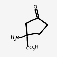 NC1(C(=O)O)CCC(=O)C1